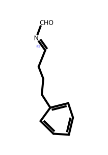 O=C/N=C/CCCc1ccccc1